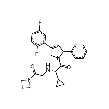 O=C(CN[C@H](C(=O)N1CC(c2cc(F)ccc2F)=C[C@H]1c1ccccc1)C1CC1)N1CCC1